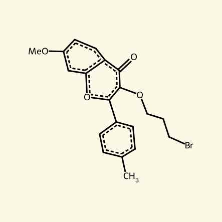 COc1ccc2c(=O)c(OCCCBr)c(-c3ccc(C)cc3)oc2c1